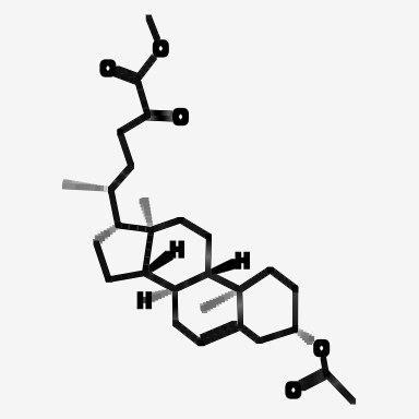 COC(=O)C(=O)CC[C@@H](C)[C@H]1CC[C@H]2[C@@H]3CC=C4C[C@@H](OC(C)=O)CC[C@]4(C)[C@H]3CC[C@]12C